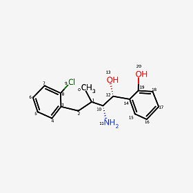 CC(Cc1ccccc1Cl)[C@@H](N)[C@H](O)c1ccccc1O